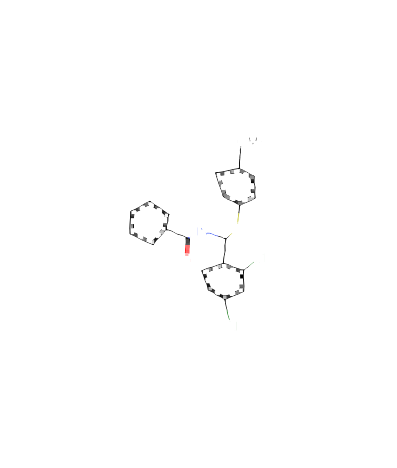 COc1ccc(SC(NC(=O)c2ccccc2)c2ccc(Cl)cc2Cl)cc1